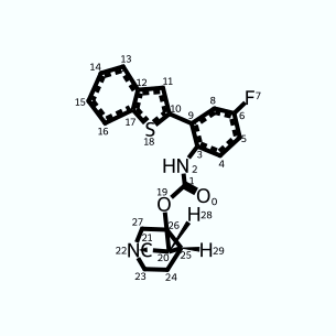 O=C(Nc1ccc(F)cc1-c1cc2ccccc2s1)O[C@H]1C[N@]2CC[C@H]1CC2